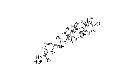 CN1C(=O)C=C[C@]2(C)[C@H]3CC[C@]4(C)[C@@H](CC(=O)Nc5cccc(C(=O)NO)c5)CC[C@H]4[C@@H]3CC[C@@H]12